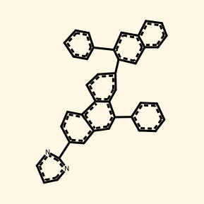 c1ccc(-c2cc3ccccc3cc2-c2ccc3c(c2)c(-c2ccccc2)cc2cc(-c4ncccn4)ccc23)cc1